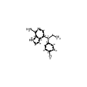 Nc1ncc(N(CC(F)(F)F)c2ccc(Cl)nc2)c2cc[nH]c12